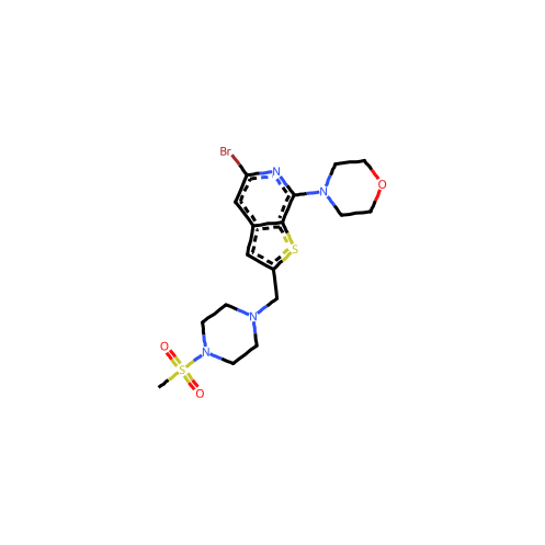 CS(=O)(=O)N1CCN(Cc2cc3cc(Br)nc(N4CCOCC4)c3s2)CC1